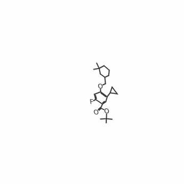 CC1(C)CCCC(COc2cc(F)c(C(=O)OC(C)(C)C)cc2C2CC2)C1